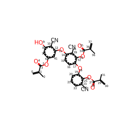 C=C(C)C(=O)Oc1cc(O)c(C#N)c(Oc2ccc(Oc3cccc(C#N)c3OC(=O)C(=C)C)c(OC(=O)C(=C)C)c2C#N)c1